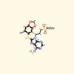 CNS(=O)(=O)CCCn1c(Sc2cc3c(cc2I)OCO3)nc2c(N)ncnc21